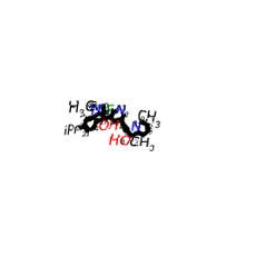 Cc1cccc(C(C)(O)C#Cc2cncc([C@@](O)(c3ccc(C(C)C)cc3)C3(F)CN(C)C3)c2)n1